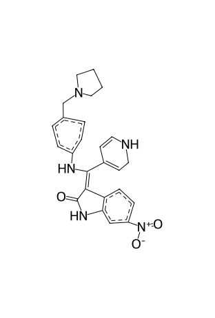 O=C1Nc2cc([N+](=O)[O-])ccc2/C1=C(/Nc1ccc(CN2CCCC2)cc1)C1=CCNC=C1